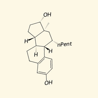 CCCCC[C@H]1C[C@]2(C)[C@@H](O)CC[C@H]2[C@@H]2CCc3cc(O)ccc3[C@@H]12